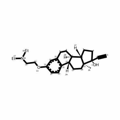 C#C[C@]1(O)CC[C@H]2[C@@H]3CCc4cc(OCCN(CC)CC)ccc4[C@H]3CC[C@@]21C